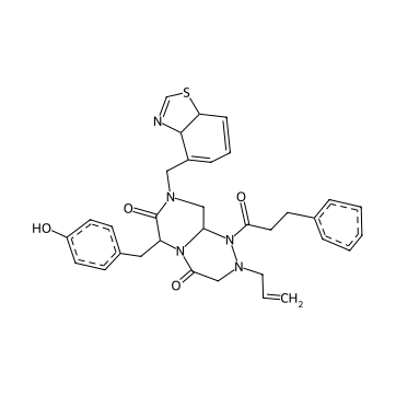 C=CCN1CC(=O)N2C(Cc3ccc(O)cc3)C(=O)N(CC3=CC=CC4SC=NC34)CC2N1C(=O)CCc1ccccc1